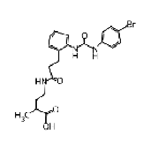 CC(CCNC(=O)CCc1ccccc1NC(=O)Nc1ccc(Br)cc1)C(=O)O